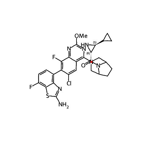 COc1nc(N2CC3CCC(C2)N3C(=O)[C@@H]2N[C@H]2C2CC2)c2cc(Cl)c(-c3ccc(F)c4sc(N)nc34)c(F)c2n1